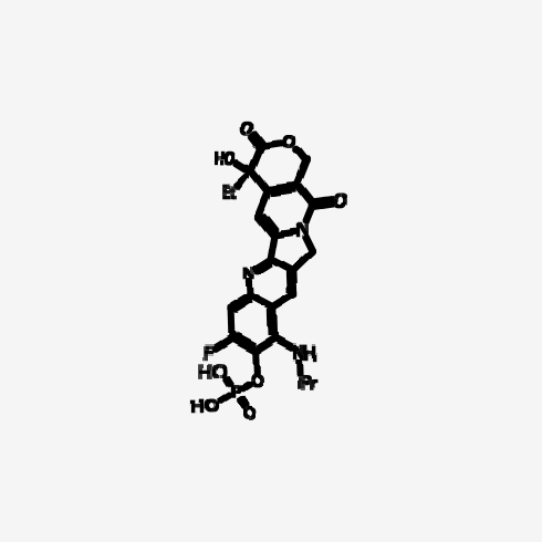 CC[C@@]1(O)C(=O)OCc2c1cc1n(c2=O)Cc2cc3c(NC(C)C)c(OP(=O)(O)O)c(F)cc3nc2-1